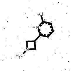 CN1CC(c2cccc(Cl)n2)C1